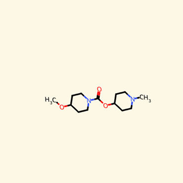 COC1CCN(C(=O)OC2CCN(C)CC2)CC1